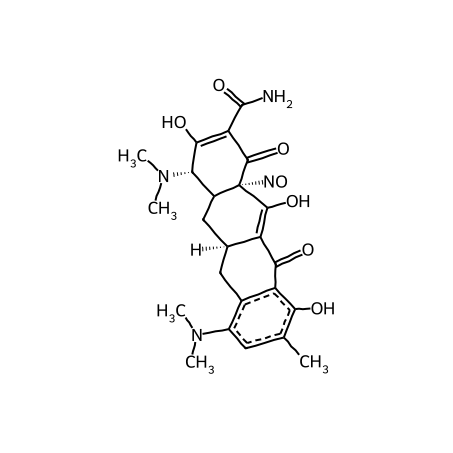 Cc1cc(N(C)C)c2c(c1O)C(=O)C1=C(O)[C@]3(N=O)C(=O)C(C(N)=O)=C(O)[C@@H](N(C)C)C3C[C@@H]1C2